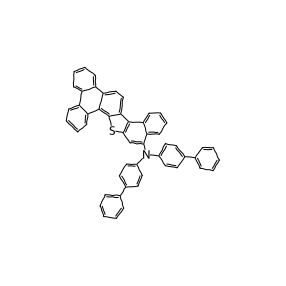 c1ccc(-c2ccc(N(c3ccc(-c4ccccc4)cc3)c3cc4sc5c(ccc6c7ccccc7c7ccccc7c65)c4c4ccccc34)cc2)cc1